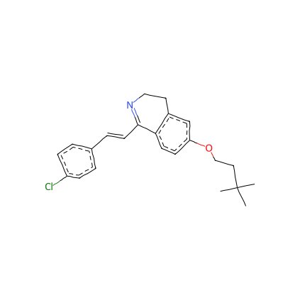 CC(C)(C)CCOc1ccc2c(c1)CCN=C2/C=C/c1ccc(Cl)cc1